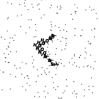 O.O.O.O.O.[Br-].[Br-].[Br-].[Br-].[Sn+4]